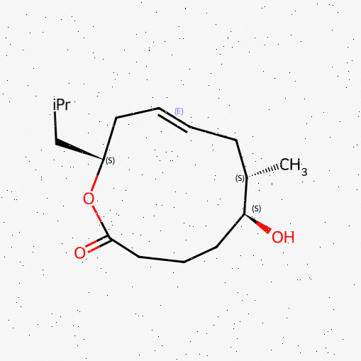 CC(C)C[C@H]1C/C=C/C[C@H](C)[C@@H](O)CCCC(=O)O1